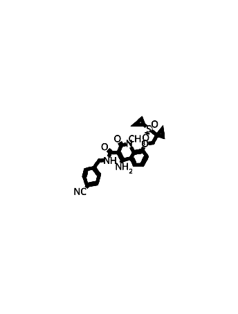 Cn1c(=O)c(C(=O)NCc2ccc(C#N)cc2)c(N)c2cccc(OCC3(S(=O)(=O)C4CC4)CC3)c21